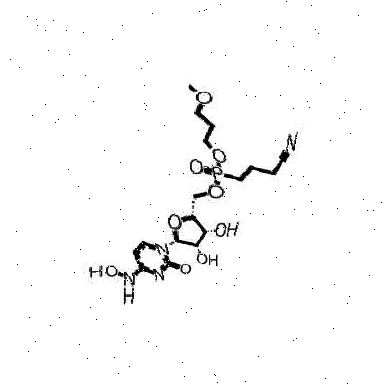 COCCCOP(=O)(CCCC#N)OC[C@H]1O[C@@H](n2ccc(NO)nc2=O)[C@@H](O)[C@H]1O